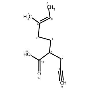 C#CCC(CCC(C)=CC)C(=O)O